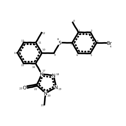 Cc1cc(Br)ccc1SCc1c(C)cccc1-n1nnn(C)c1=O